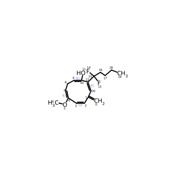 C=C1/C=C\C(OC)=C/C/C=C(O)\C(C(F)(F)CCCC)=C/1